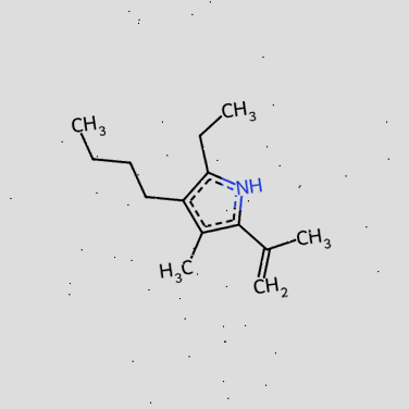 C=C(C)c1[nH]c(CC)c(CCCC)c1C